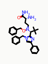 CC(C)(C)[C@H](c1nc(-c2ccccc2)cn1Cc1ccccc1)N(CC[C@@H](N)C(N)=O)OCc1ccccc1